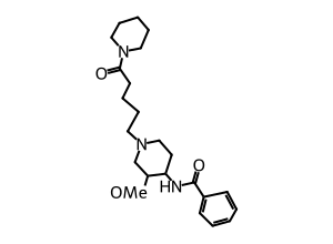 COC1CN(CCCCC(=O)N2CCCCC2)CCC1NC(=O)c1ccccc1